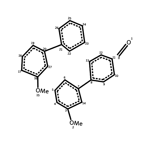 C=O.COc1cccc(-c2ccccc2)c1.COc1cccc(-c2ccccc2)c1